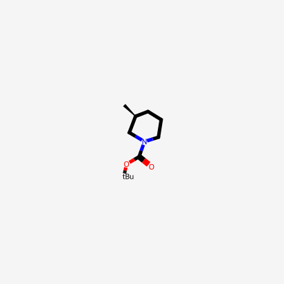 C[C@H]1CCCN(C(=O)OC(C)(C)C)C1